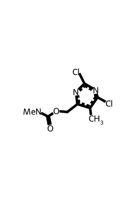 CNC(=O)OCc1nc(Cl)nc(Cl)c1C